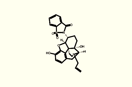 C=CCN1CC[C@]23c4c5ccc(O)c4O[C@H]2[C@H](N2C(=O)c4ccccc4S2(=O)=O)CC[C@@]3(O)[C@H]1C5